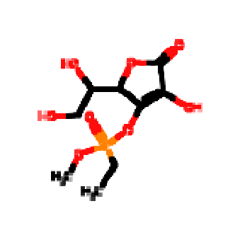 CCP(=O)(OC)OC1=C(O)C(=O)OC1C(O)CO